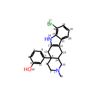 CN1CCC2(c3cccc(O)c3)Cc3[nH]c4c(Br)cccc4c3CC2C1